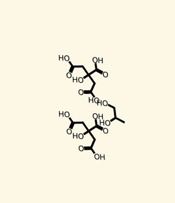 CC(O)CO.O=C(O)CC(O)(CC(=O)O)C(=O)O.O=C(O)CC(O)(CC(=O)O)C(=O)O